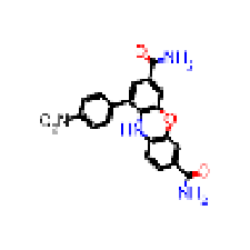 NC(=O)c1ccc2c(c1)Oc1cc(C(N)=O)cc(-c3ccc([N+](=O)[O-])cc3)c1N2